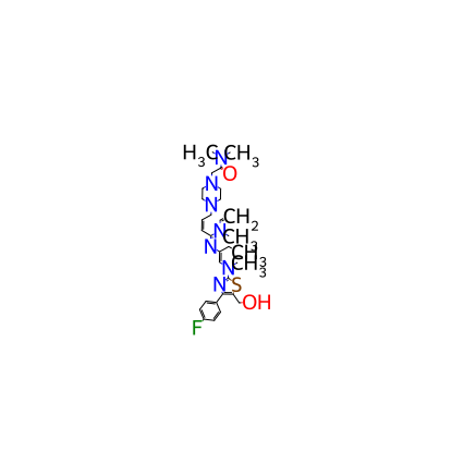 C=CN(C)C(/C=C\CN1CCN(CC(=O)N(C)C)CC1)=N\C(=C\N(C)c1nc(-c2ccc(F)cc2)c(CO)s1)CC